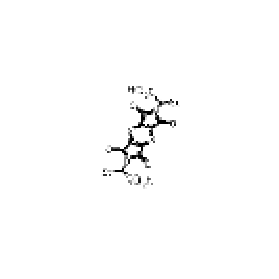 CCC(C(=O)O)n1c(=O)c2sc3c(=O)n(C(CC)C(=O)O)c(=O)c3sc2c1=O